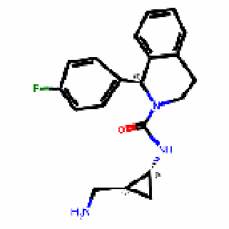 NC[C@@H]1C[C@H]1NC(=O)N1CCc2ccccc2[C@@H]1c1ccc(F)cc1